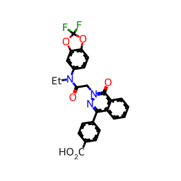 CCN(C(=O)Cn1nc(-c2ccc(C(=O)O)cc2)c2ccccc2c1=O)c1ccc2c(c1)OC(F)(F)O2